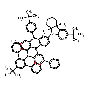 Cc1cc2c3c(c1)N(c1c(-c4ccccc4)cc(C(C)(C)C)cc1-c1ccccc1)c1ccc(-c4ccccc4)cc1B3c1ccc(N3c4ccc(C(C)(C)C)cc4C4(C)CCCCC34C)cc1N2c1ccc(C(C)(C)C)cc1